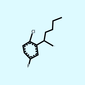 [CH2]C(CCCC)c1cc(F)ccc1Cl